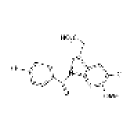 COc1cc2c(cc1Cl)c(CC(=O)O)cn2C(=O)c1ccc(Cl)cc1